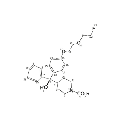 O=C(O)N1CCC([C@](O)(c2ccccc2)c2ccc(OCCOCCF)cc2)CC1